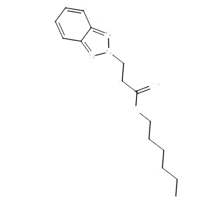 CCCCCCOC(=O)CCn1nc2ccccc2n1